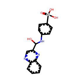 O=[As](O)(O)c1ccc(NC(O)c2cnc3ccccc3n2)cc1